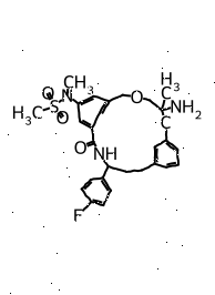 CN(c1cc2cc(c1)C(=O)NC(c1ccc(F)cc1)CCc1cccc(c1)CC(C)(N)COC2)S(C)(=O)=O